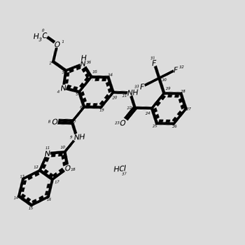 COCc1nc2c(C(=O)Nc3nc4ccccc4o3)cc(NC(=O)c3ccccc3C(F)(F)F)cc2[nH]1.Cl